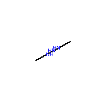 CCCCCCCCCCNCCCCNCCCNCCCCCCCCCC